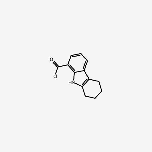 O=C(Cl)c1cccc2c3c([nH]c12)CCCC3